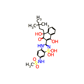 CC(C)(C)CCC1(O)C(=O)C(C2=NS(O)(O)c3cc(NS(C)(=O)=O)ccc3N2)=C(O)c2ccccc21